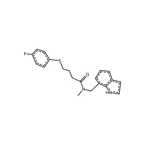 CN(Cc1cccc2cc[nH]c12)C(=O)CCCSc1ccc(F)cc1